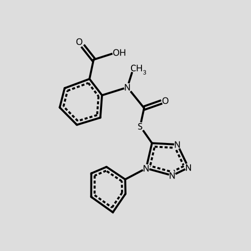 CN(C(=O)Sc1nnnn1-c1ccccc1)c1ccccc1C(=O)O